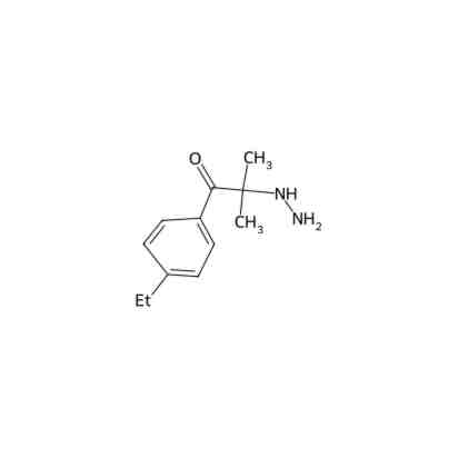 CCc1ccc(C(=O)C(C)(C)NN)cc1